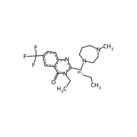 CCC[C@H](c1nc2ccc(C(F)(F)F)cc2c(=O)n1CC)N1CCCN(C)CC1